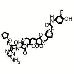 Nc1nc(/C(=N/OC2CCCC2)C(=O)N[C@@H]2C(=O)N3C(C(=O)[O-])=C(C=C4CCN(Cc5cc[n+](CC(=O)Nc6ccc(O)c(F)c6)cc5)C4=O)CS[C@H]23)ns1